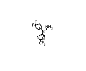 NC[C@H](c1cnc(C(F)(F)F)nc1)N1CCC(F)(F)CC1